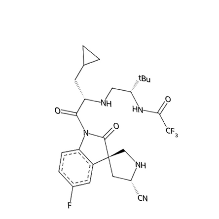 CC(C)(C)[C@@H](CN[C@@H](CC1CC1)C(=O)N1C(=O)[C@@]2(CN[C@H](C#N)C2)c2cc(F)ccc21)NC(=O)C(F)(F)F